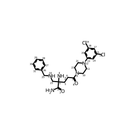 NC(=O)C(N)(CCC(=O)N1CCN(c2cc(Cl)cc(Cl)c2)CC1)CNCc1ccccc1